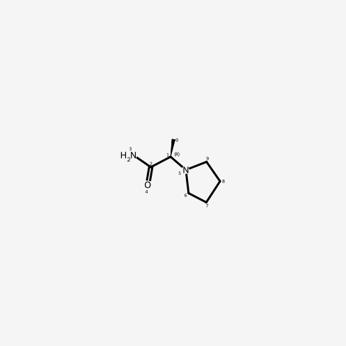 C[C@H](C(N)=O)N1CCCC1